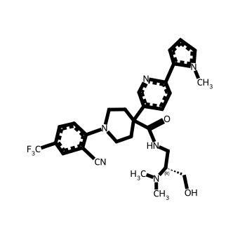 CN(C)[C@@H](CO)CNC(=O)C1(c2ccc(-c3cccn3C)nc2)CCN(c2ccc(C(F)(F)F)cc2C#N)CC1